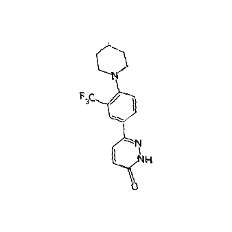 O=c1ccc(-c2ccc(N3CC[CH]CC3)c(C(F)(F)F)c2)n[nH]1